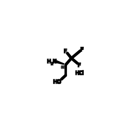 Cl.N[C@@H](CO)C(F)(F)F